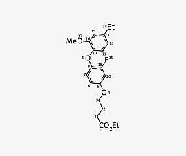 CCOC(=O)CCCOc1ccc(Oc2ccc(CC)cc2OC)c(F)c1